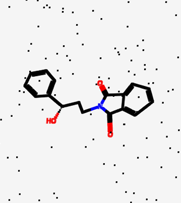 O=C1c2ccccc2C(=O)N1CC[C@H](O)c1ccccc1